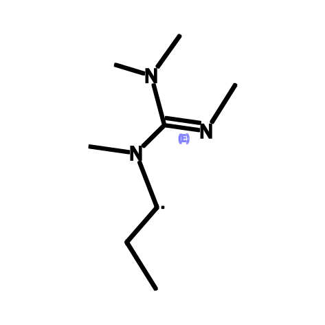 CC[CH]N(C)/C(=N/C)N(C)C